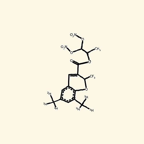 [2H]C([2H])([2H])c1cc2c(c(C([2H])([2H])[2H])c1)OC(C(F)(F)F)C(C(=O)OC(C)C(O[N+](=O)[O-])O[N+](=O)[O-])=C2